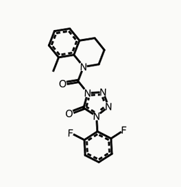 Cc1cccc2c1N(C(=O)n1nnn(-c3c(F)cccc3F)c1=O)CCC2